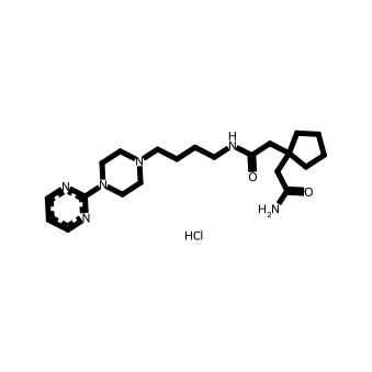 Cl.NC(=O)CC1(CC(=O)NCCCCN2CCN(c3ncccn3)CC2)CCCC1